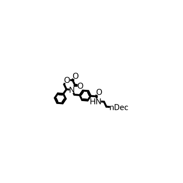 CCCCCCCCCCCCNC(=O)c1ccc(CN2C(=O)C(=O)OCC2c2ccccc2)cc1